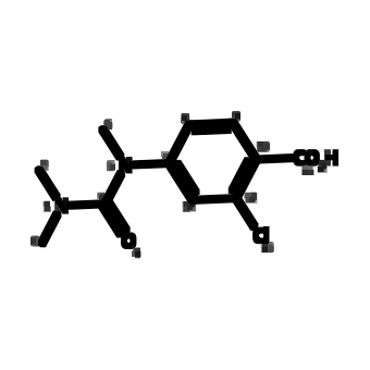 CN(C)C(=O)N(C)c1ccc(C(=O)O)c(Cl)c1